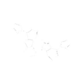 CC1=Cc2c(cccc2-n2cccn2)[C@@H]1[Zr+2]([C@H]1C(C)=Cc2c1cccc2-n1cccn1)=[Si](C)C.[Cl-].[Cl-]